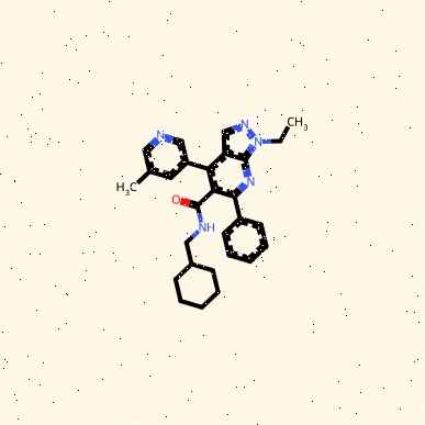 CCn1ncc2c(-c3cncc(C)c3)c(C(=O)NCC3CCCCC3)c(-c3ccccc3)nc21